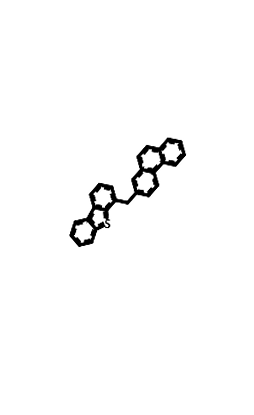 c1ccc2c(c1)ccc1cc(Cc3cccc4c3sc3ccccc34)ccc12